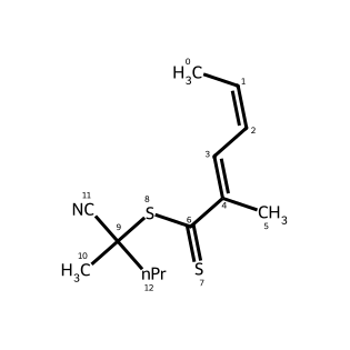 C/C=C\C=C(/C)C(=S)SC(C)(C#N)CCC